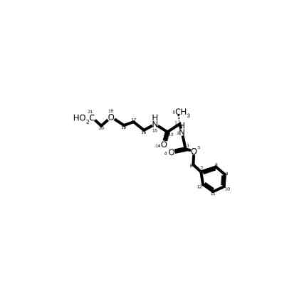 C[C@H](NC(=O)OCc1ccccc1)C(=O)NCCCOCC(=O)O